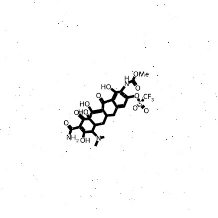 COC(=O)Nc1c(OS(=O)(=O)C(F)(F)F)cc2c(c1O)C(=O)C1=C(O)C3(O)C(=O)C(C(N)=O)=C(O)C(N(C)C)C3CC1C2